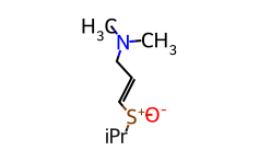 CC(C)[S+]([O-])/C=C/CN(C)C